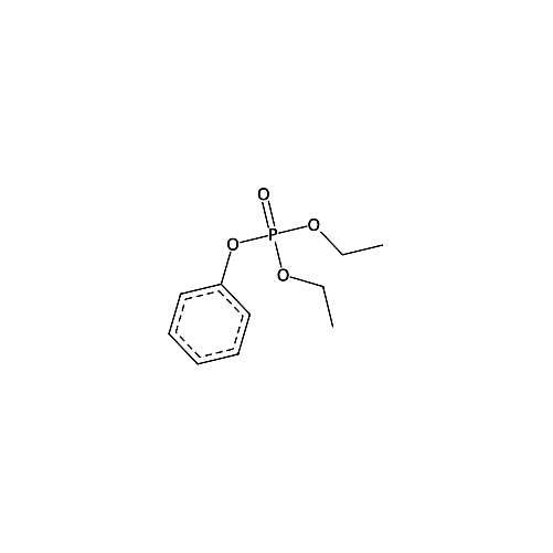 CCOP(=O)(OCC)Oc1ccccc1